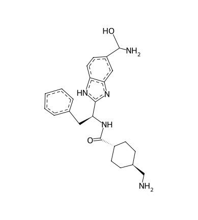 NC[C@H]1CC[C@H](C(=O)N[C@@H](Cc2ccccc2)c2nc3cc(C(N)O)ccc3[nH]2)CC1